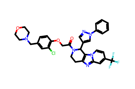 O=C(COc1ccc(CN2CCOCC2)cc1Cl)N1CCc2nc3cc(C(F)(F)F)ccn3c2C1c1cnn(-c2ccccc2)c1